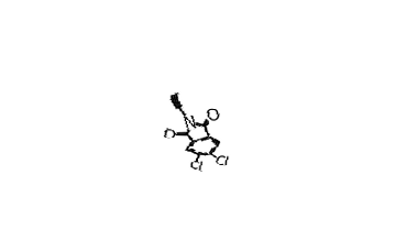 C#CN1C(=O)c2cc(Cl)c(Cl)cc2C1=O